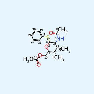 CC(=O)N[C@H]1C(C)[C@H](C)C(COC(C)=O)O[C@H]1Sc1ccccc1